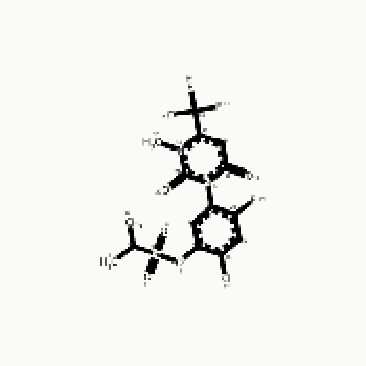 CC(C)S(=O)(=O)Oc1cc(-n2c(=O)cc(C(F)(F)F)n(C)c2=O)c(F)cc1Cl